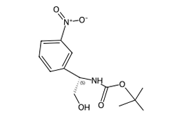 CC(C)(C)OC(=O)N[C@H](CO)c1cccc([N+](=O)[O-])c1